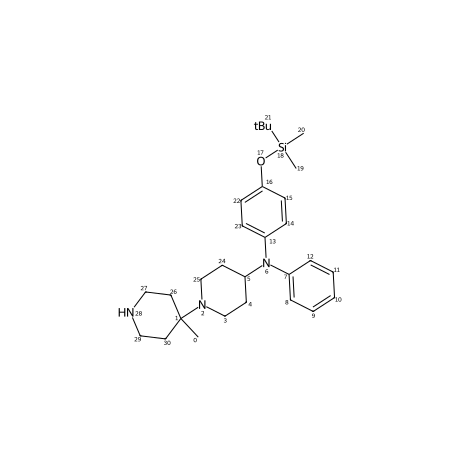 CC1(N2CCC(N(c3ccccc3)c3ccc(O[Si](C)(C)C(C)(C)C)cc3)CC2)CCNCC1